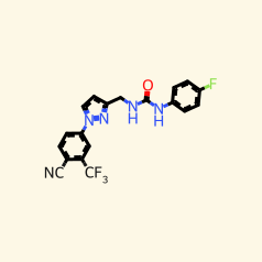 N#Cc1ccc(-n2ccc(CNC(=O)Nc3ccc(F)cc3)n2)cc1C(F)(F)F